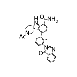 CC(=O)N1CCc2[nH]c3c(C(N)=O)ccc(-c4cccc(-n5cnc6ccccc6c5=O)c4C)c3c2C1